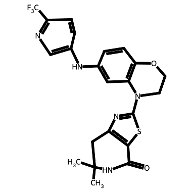 CC1(C)Cc2nc(N3CCOc4ccc(Nc5ccc(C(F)(F)F)nc5)cc43)sc2C(=O)N1